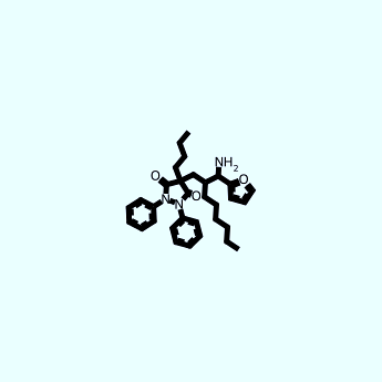 CCCCCCC(CC1(CCCC)C(=O)N(c2ccccc2)N(c2ccccc2)C1=O)C(N)c1ccco1